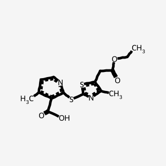 CCOC(=O)Cc1sc(Sc2nccc(C)c2C(=O)O)nc1C